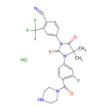 CC1(C)C(=O)N(c2ccc(C#N)c(C(F)(F)F)c2)C(=S)N1c1ccc(C(=O)N2CCNCC2)c(F)c1.Cl